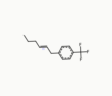 [CH2]CC/C=C/Cc1ccc(C(F)(F)F)cc1